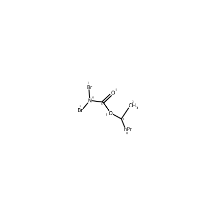 CCCC(C)OC(=O)N(Br)Br